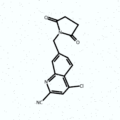 N#Cc1cc(Cl)c2ccc(CN3C(=O)CCC3=O)cc2n1